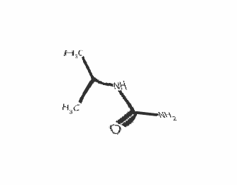 CC(C)NC(N)=O